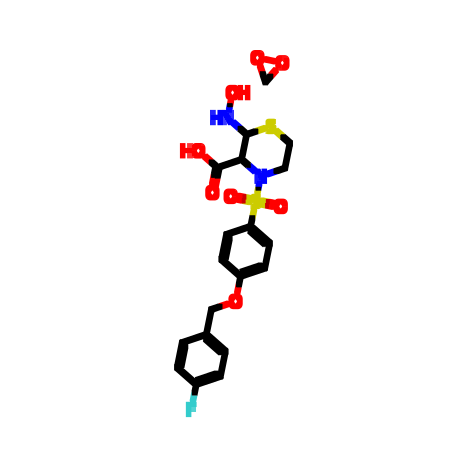 C1OO1.O=C(O)C1C(NO)SCCN1S(=O)(=O)c1ccc(OCc2ccc(F)cc2)cc1